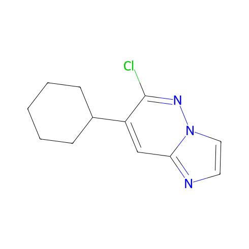 Clc1nn2ccnc2cc1C1CCCCC1